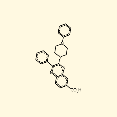 O=C(O)c1ccc2nc(-c3ccccc3)c(N3CCN(c4ccccc4)CC3)nc2c1